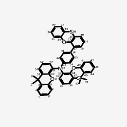 CC1(C)c2ccccc2Oc2c(N(c3ccc(-c4cccc5c4Oc4ccccc4S5)cc3)c3cccc4c3Oc3ccccc3[Si]4(C)C)cccc21